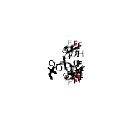 CCC(C)(C)C(=O)OCC(CCC(=O)C(O)(C(F)(F)F)C(F)(F)F)(COC(=O)C(O)(C(F)(F)F)C(F)(F)F)COC(=O)C(O)(C(F)(F)F)C(F)(F)F